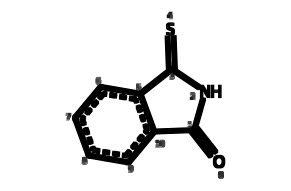 O=C1NC(=S)c2ccccc21